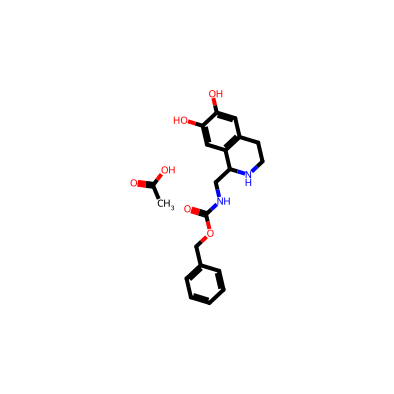 CC(=O)O.O=C(NCC1NCCc2cc(O)c(O)cc21)OCc1ccccc1